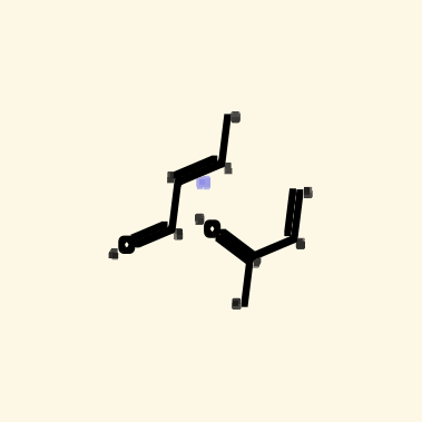 C/C=C/C=O.C=CC(C)=O